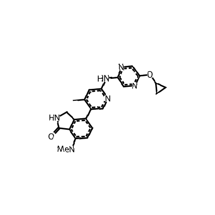 CNc1ccc(-c2cnc(Nc3cnc(OC4CC4)cn3)cc2C)c2c1C(=O)NC2